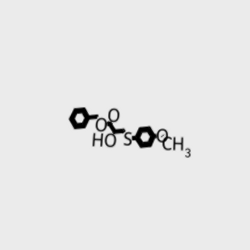 COc1ccc(SC[C@@H](O)C(=O)OCc2ccccc2)cc1